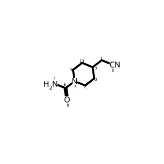 N#CCC1CCN(C(N)=O)CC1